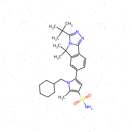 Cc1c(S(N)(=O)=O)cc(-c2ccc3c(c2)C(C)(C)n2c-3nnc2C(C)(C)C)n1CC1CCCCC1